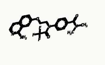 CN(C)C(=O)c1ccc(N(CCOc2ccc3ccnc(N)c3c2)C(=O)C(F)(F)F)cc1